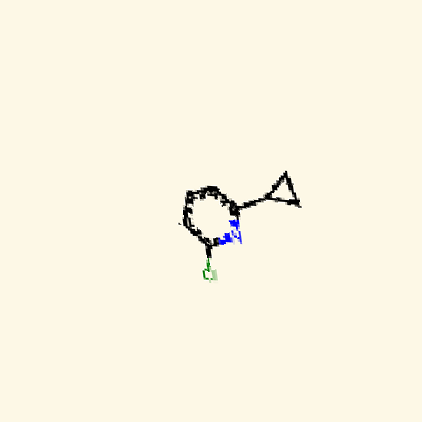 Clc1[c]ccc(C2CC2)n1